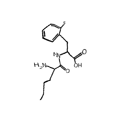 CCCCC(N)C(=O)NC(Cc1ccccc1F)C(=O)O